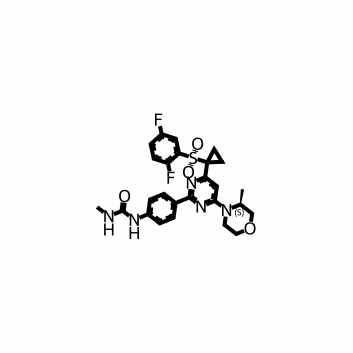 CNC(=O)Nc1ccc(-c2nc(N3CCOC[C@@H]3C)cc(C3(S(=O)(=O)c4cc(F)ccc4F)CC3)n2)cc1